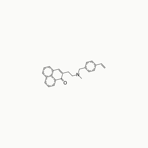 C=Cc1ccc(CN(C)CCC2=Cc3cccc4cccc(c34)C2=O)cc1